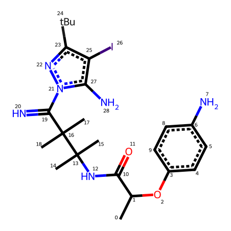 CC(Oc1ccc(N)cc1)C(=O)NC(C)(C)C(C)(C)C(=N)n1nc(C(C)(C)C)c(I)c1N